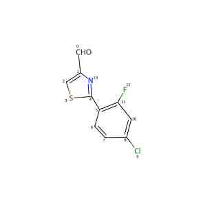 O=Cc1csc(-c2ccc(Cl)cc2F)n1